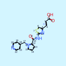 O=C(O)/C=C/c1csc(NC(=O)c2cccn2Cc2ccncc2)n1